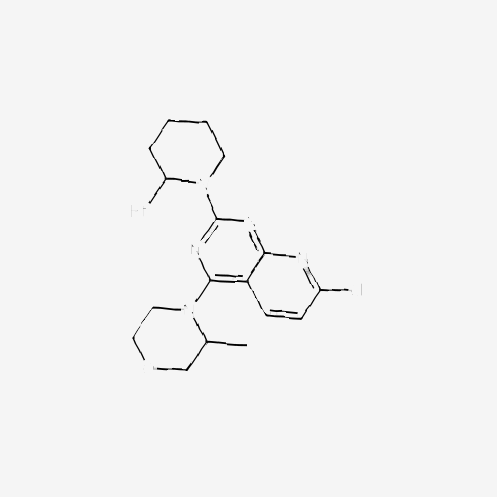 CCC1CCCCN1c1nc(N2CCOCC2C)c2ccc(Cl)nc2n1